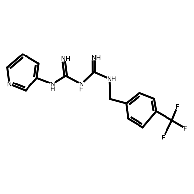 N=C(NCc1ccc(C(F)(F)F)cc1)NC(=N)Nc1cccnc1